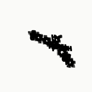 CC(C)C[C@H](N[C@@H](c1ccc(-c2ccc(S(C)(=O)=O)cc2)cc1)C(F)(F)F)C(=O)NC1CCCN(S(=O)(=O)c2ccccn2)CC1O